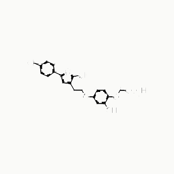 Cc1cc(OCCc2cc(-c3ccc(Cl)cc3)oc2C(F)(F)F)ccc1OCC(=O)O